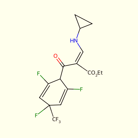 CCOC(=O)/C(=C/NC1CC1)C(=O)C1C(F)=CC(F)(C(F)(F)F)C=C1F